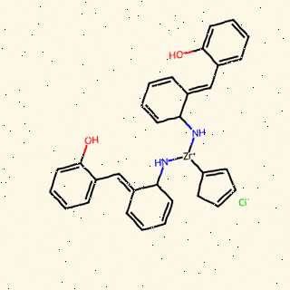 Oc1ccccc1C=C1C=CC=CC1[NH][Zr+]([NH]C1C=CC=CC1=Cc1ccccc1O)[C]1=CC=CC1.[Cl-]